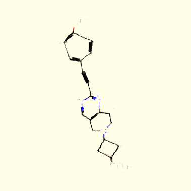 CCOc1ccc(C#Cc2ncc3c(n2)CCN(C2CC(C(=O)O)C2)C3)cc1